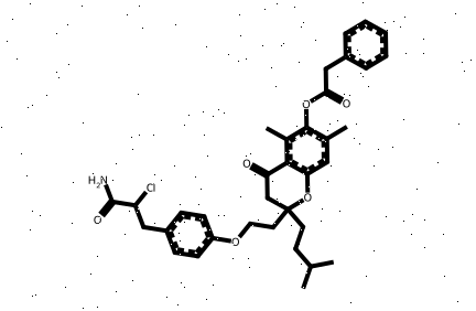 Cc1cc2c(c(C)c1OC(=O)Cc1ccccc1)C(=O)CC(CCOc1ccc(CC(Cl)C(N)=O)cc1)(CCC(C)C)O2